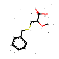 COC(CSCc1ccccc1)C(=O)O